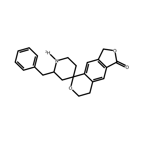 [2H]N1CCC2(CC1Cc1ccccc1)OCCc1cc3c(cc12)COC3=O